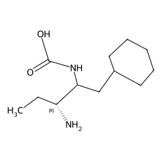 CC[C@@H](N)C(CC1CCCCC1)NC(=O)O